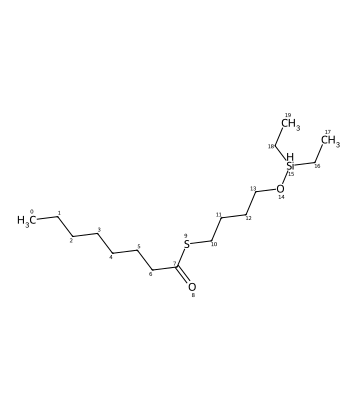 CCCCCCCC(=O)SCCCCO[SiH](CC)CC